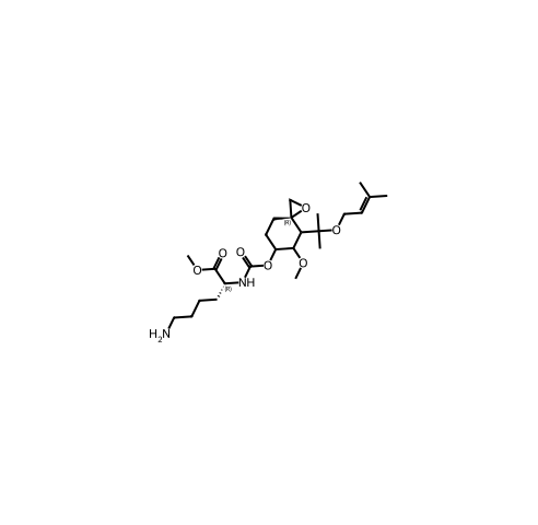 COC(=O)[C@@H](CCCCN)NC(=O)OC1CC[C@]2(CO2)C(C(C)(C)OCC=C(C)C)C1OC